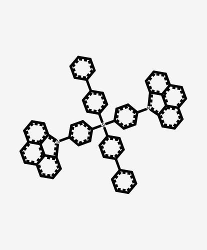 c1ccc(-c2ccc([Si](c3ccc(-c4ccccc4)cc3)(c3ccc(-n4c5cccc6ccc7cccc4c7c65)cc3)c3ccc(-n4c5cccc6ccc7cccc4c7c65)cc3)cc2)cc1